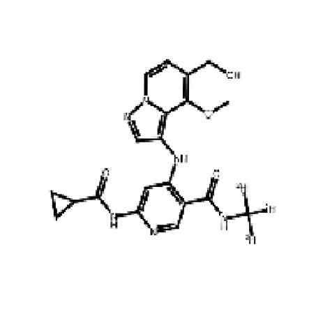 [2H]C([2H])([2H])NC(=O)c1cnc(NC(=O)C2CC2)cc1Nc1cnn2ccc(CO)c(OC)c12